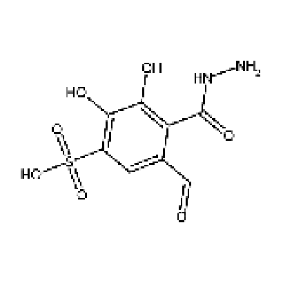 NNC(=O)c1c([C]=O)cc(S(=O)(=O)O)c(O)c1O